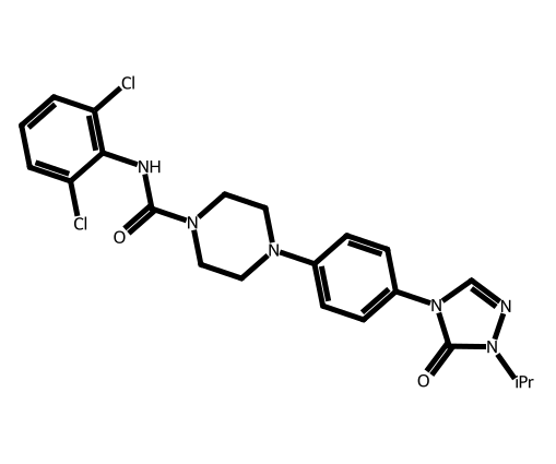 CC(C)n1ncn(-c2ccc(N3CCN(C(=O)Nc4c(Cl)cccc4Cl)CC3)cc2)c1=O